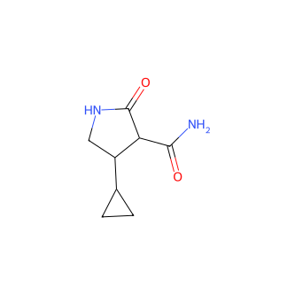 NC(=O)C1C(=O)NCC1C1CC1